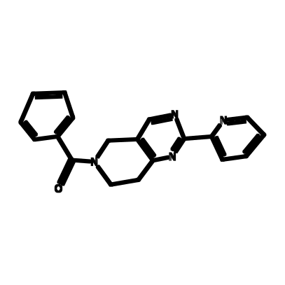 O=C(c1ccccc1)N1CCc2nc(-c3ccccn3)ncc2C1